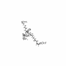 CCCCCCCC/C=C\CCCCCCCCO[C@H](COC(=O)CCCCCCCCCCCCCCCCC)COP(=O)(O)OCCN